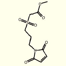 COC(=O)CS(=O)(=O)CCCN1C(=O)C=CC1=O